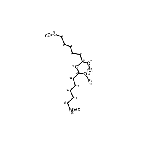 CCCCCCCCCCCCCCCC(OCC)OC(CCCCCCCCCCCCCCC)OCC